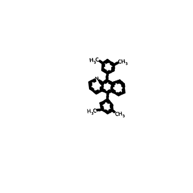 Cc1cc(C)cc(-c2c3ccccc3c(-c3cc(C)cc(C)c3)c3ncccc23)c1